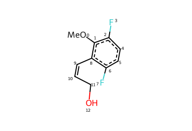 COc1c(F)ccc(F)c1/C=C\CO